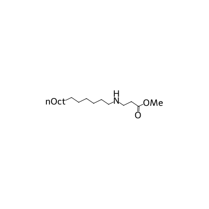 CCCCCCCCCCCCCCNCCC(=O)OC